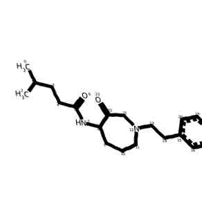 CC(C)C[CH]C(=O)NC1CCCN(CCc2ccccc2)CC1=O